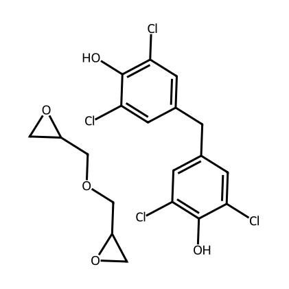 C(OCC1CO1)C1CO1.Oc1c(Cl)cc(Cc2cc(Cl)c(O)c(Cl)c2)cc1Cl